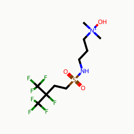 C[N+](C)(O)CCCNS(=O)(=O)CCC(F)(C(F)(F)F)C(F)(F)F